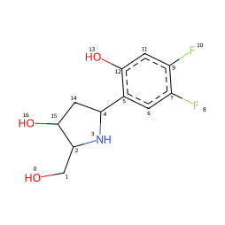 OCC1NC(c2cc(F)c(F)cc2O)CC1O